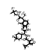 CC(C)(F)CNC(=O)[C@@H](CC(F)(F)F)c1ccc2[nH]c([C@@H](NC(=O)c3nonc3C3CC3)C3CCC(F)(F)CC3)nc2c1F